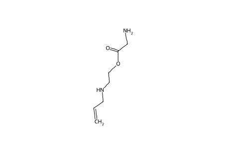 C=CCNCCOC(=O)CN